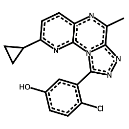 Cc1nc2ccc(C3CC3)nc2n2c(-c3cc(O)ccc3Cl)nnc12